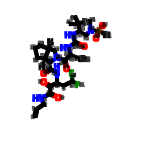 C=CCNC(=O)C(=O)[C@H](CC(F)F)NC(=O)[C@@H]1[C@H]2CCC[C@H]2CN1C(=O)[C@@H](NC(=O)N[C@H](CN(C)S(=O)(=O)CC)C(C)(C)CC)C(C)(C)C